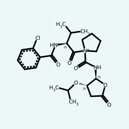 CC(C)O[C@H]1CC(=O)O[C@@H]1NC(=O)[N+]1(C(=O)[C@@H](NC(=O)c2ccccc2Cl)C(C)C)CCCC1